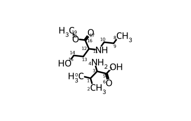 CC(C)C(N)C(=O)O.CCCNC(CCO)C(=O)OC